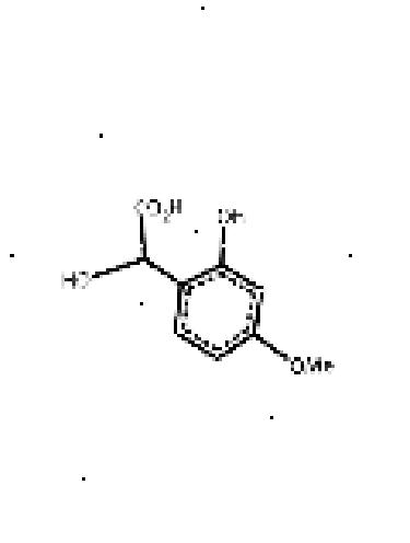 COc1ccc(C(O)C(=O)O)c(O)c1